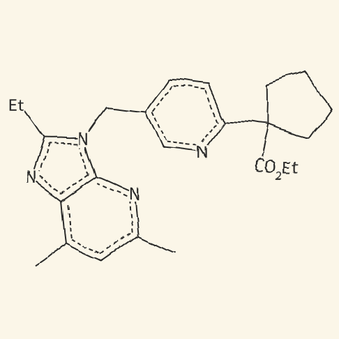 CCOC(=O)C1(c2ccc(Cn3c(CC)nc4c(C)cc(C)nc43)cn2)CCCC1